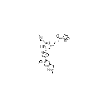 COc1cc2nc(C)ccc2cc1-c1cnc(C(CC=CCCC(=O)c2ccon2)NC(=O)C2CN(C)C2)o1